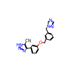 N#Cc1[nH]nnc1-c1cccc(OCc2cccc(Cn3cncn3)c2)c1